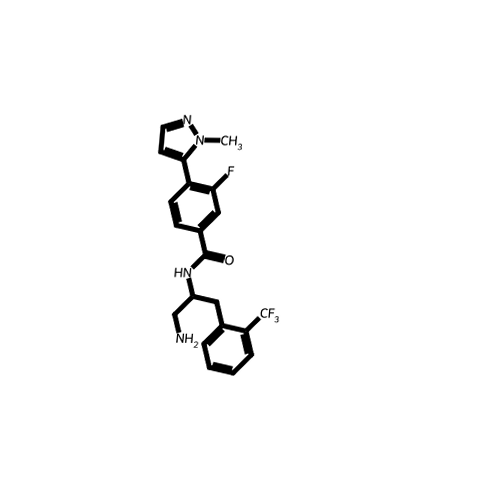 Cn1nccc1-c1ccc(C(=O)NC(CN)Cc2ccccc2C(F)(F)F)cc1F